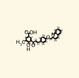 Cc1cc(C(=O)O)cc(C(=O)C=Cc2ccc(OCc3ccc4ccccc4n3)cc2)c1O